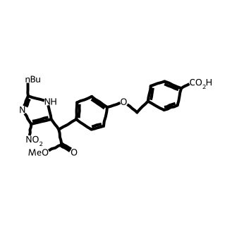 CCCCc1nc([N+](=O)[O-])c(C(C(=O)OC)c2ccc(OCc3ccc(C(=O)O)cc3)cc2)[nH]1